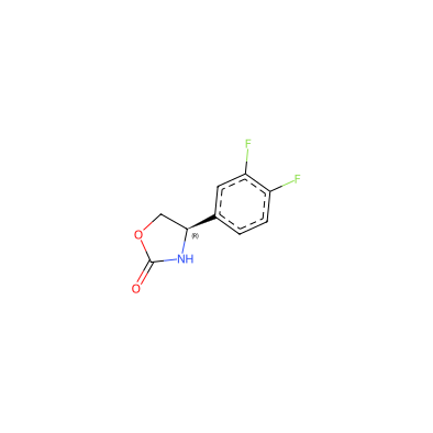 O=C1N[C@H](c2ccc(F)c(F)c2)CO1